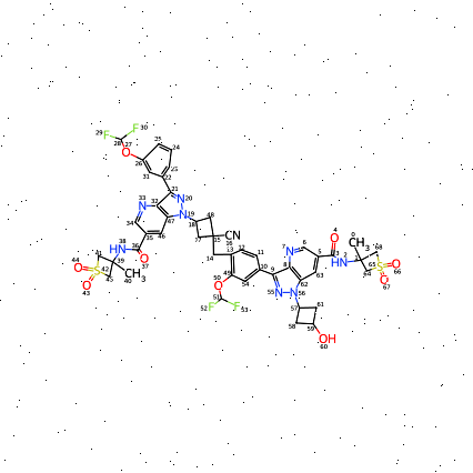 CC1(NC(=O)c2cnc3c(-c4ccc(CC5(C#N)CC(n6nc(-c7cccc(OC(F)F)c7)c7ncc(C(=O)NC8(C)CS(=O)(=O)C8)cc76)C5)c(OC(F)F)c4)nn(C4CC(O)C4)c3c2)CS(=O)(=O)C1